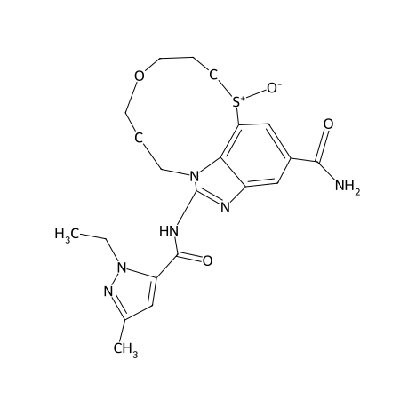 CCn1nc(C)cc1C(=O)Nc1nc2cc(C(N)=O)cc3c2n1CCCOCCC[S+]3[O-]